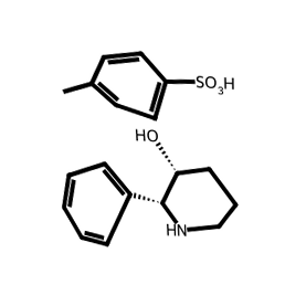 Cc1ccc(S(=O)(=O)O)cc1.O[C@@H]1CCCN[C@@H]1c1ccccc1